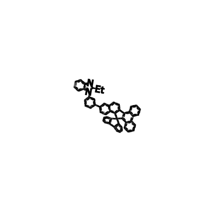 CCc1nc2ccccc2n1-c1cccc(-c2ccc3c4c(ccc3c2)-c2c(c3ccccc3c3ccccc23)C42c3ccccc3-c3ccccc32)c1